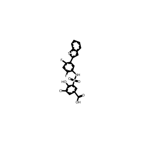 O=C(O)c1cc(Cl)c(O)c(S(=O)(=O)Nc2cc(-c3cc4ccccc4s3)c(F)cc2F)c1